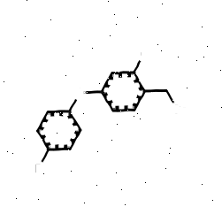 Fc1ccc(Oc2ccc(CBr)c(Cl)c2)cc1